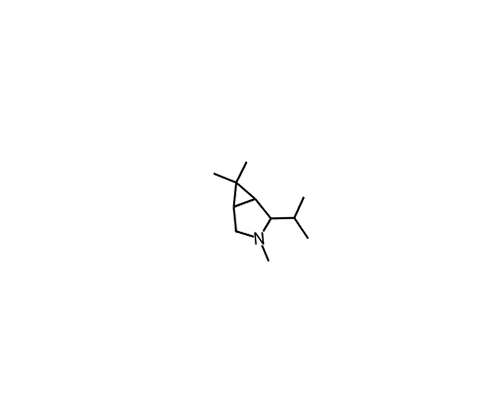 CC(C)C1C2C(CN1C)C2(C)C